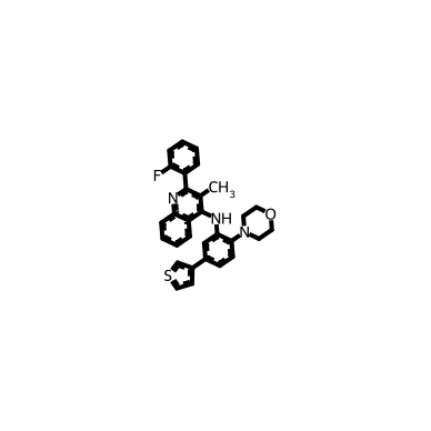 Cc1c(-c2ccccc2F)nc2ccccc2c1Nc1cc(-c2ccsc2)ccc1N1CCOCC1